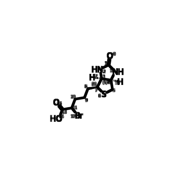 O=C1N[C@H]2[C@H](CS[C@H]2CCCC(Br)C(=O)O)N1